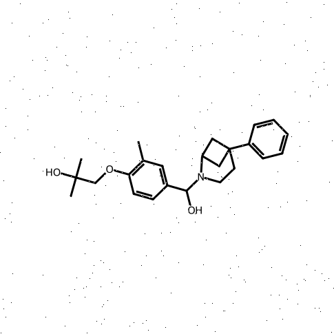 Cc1cc(C(O)N2CCC3(c4ccccc4)CC2C3)ccc1OCC(C)(C)O